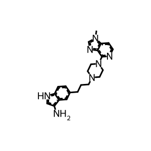 Cn1cnc2c(N3CCN(CCCc4ccc5[nH]cc(N)c5c4)CC3)nccc21